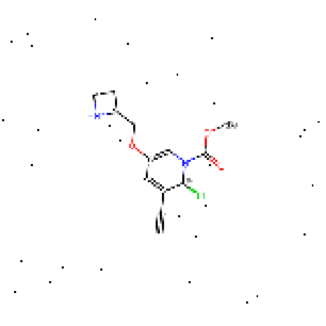 C#CC1=CC(OCC2CCN2)=CN(C(=O)OC(C)(C)C)[C@H]1Cl